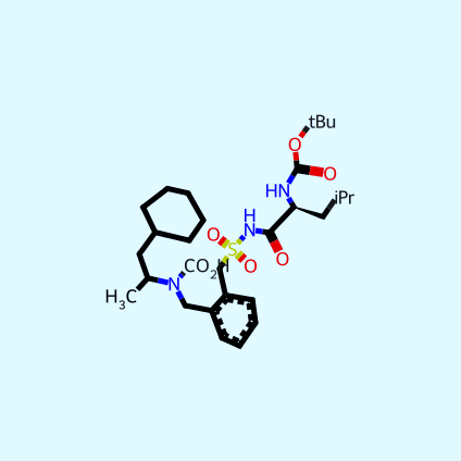 CC(C)C[C@H](NC(=O)OC(C)(C)C)C(=O)NS(=O)(=O)Cc1ccccc1CN(C(=O)O)C(C)CC1CCCCC1